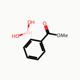 COC(=O)c1ccccc1.OBO